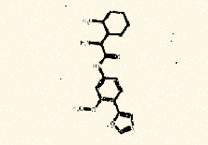 COc1cc(NC(=O)C(N)C2CCCCC2C)ccc1-c1cnco1